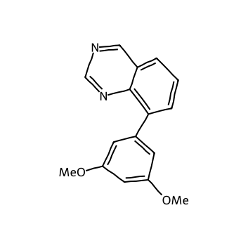 COc1cc(OC)cc(-c2cccc3cncnc23)c1